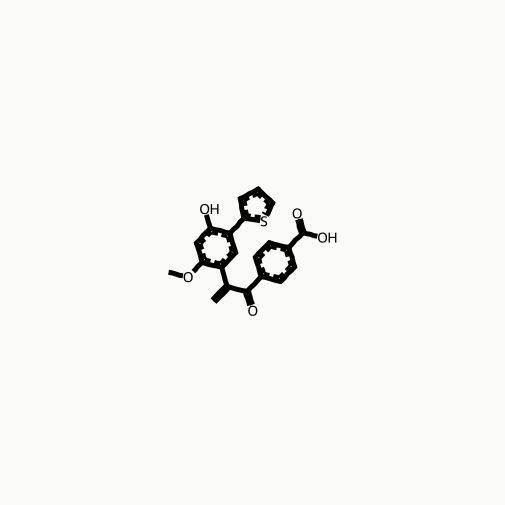 C=C(C(=O)c1ccc(C(=O)O)cc1)c1cc(-c2cccs2)c(O)cc1OC